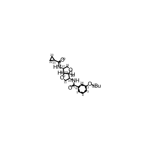 CCC(C)Oc1cccc(C(=O)N[C@H]2CO[C@H]3[C@@H]2OC[C@@H]3NC(=O)C2CC2)c1